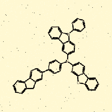 c1ccc(-n2c3ccccc3c3cc(N(c4ccc(-c5ccc6c(c5)Cc5ccccc5-6)cc4)c4ccc5c(c4)oc4ccccc45)ccc32)cc1